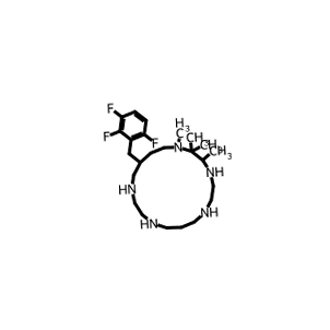 CC1NCCNCCCNCCNCC(Cc2c(F)ccc(F)c2F)CCN(C)C1(C)C